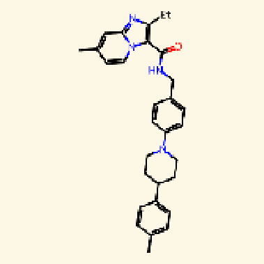 CCc1nc2cc(C)ccn2c1C(=O)NCc1ccc(N2CCC(c3ccc(C)cc3)CC2)cc1